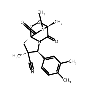 Cc1ccc([C@@H]2N3C(=O)[C@@]4(C)SS[C@@]3(C[C@]2(C)C#N)C(=O)N4C)cc1C